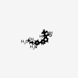 CN(C)CCOc1ccc(-c2cc3c(cn2)CCc2c-3[nH]c3c2C(=O)NCC32CC2)cc1N